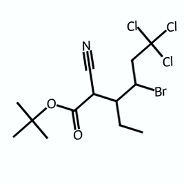 CCC(C(Br)CC(Cl)(Cl)Cl)C(C#N)C(=O)OC(C)(C)C